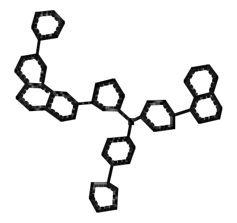 c1ccc(-c2ccc(N(c3ccc(-c4cccc5ccccc45)cc3)c3cccc(-c4ccc5ccc6ccc(-c7ccccc7)cc6c5c4)c3)cc2)cc1